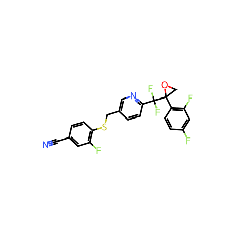 N#Cc1ccc(SCc2ccc(C(F)(F)C3(c4ccc(F)cc4F)CO3)nc2)c(F)c1